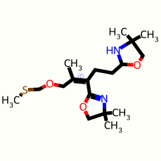 CSCOC/C(C)=C(/CCC1NC(C)(C)CO1)C1=NC(C)(C)CO1